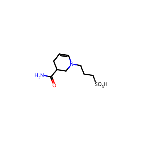 NC(=O)C1CC=CN(CCCS(=O)(=O)O)C1